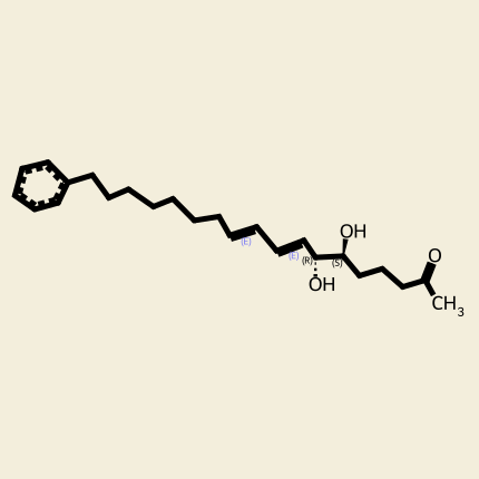 CC(=O)CCC[C@H](O)[C@H](O)/C=C/C=C/CCCCCCCc1ccccc1